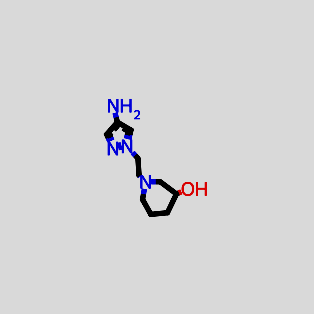 Nc1cnn(CCN2CCCC(O)C2)c1